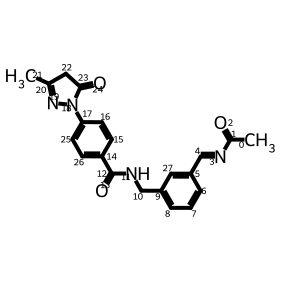 CC(=O)N=Cc1cccc(CNC(=O)c2ccc(N3N=C(C)CC3=O)cc2)c1